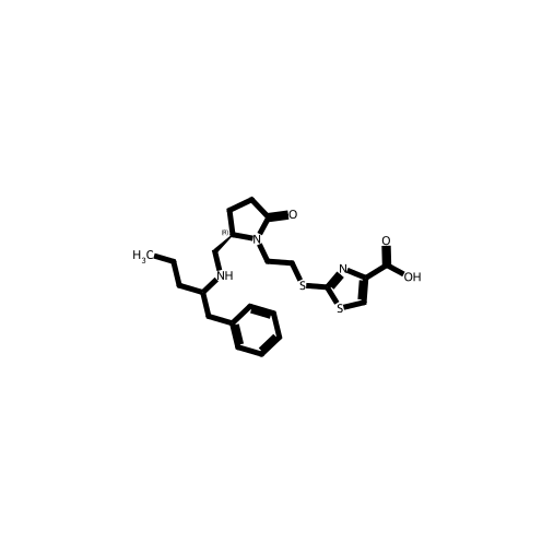 CCCC(Cc1ccccc1)NC[C@H]1CCC(=O)N1CCSc1nc(C(=O)O)cs1